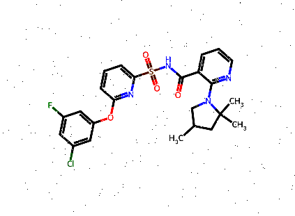 CC1CN(c2ncccc2C(=O)NS(=O)(=O)c2cccc(Oc3cc(F)cc(Cl)c3)n2)C(C)(C)C1